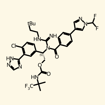 CC(C)(C)CCNC(=N)N(C(=O)c1ccc(-c2cnn(C(F)F)c2)cc1)[C@H](COC(=O)NC(C)(C)C(F)(F)F)c1ccc(Cl)c(-c2ncn[nH]2)c1